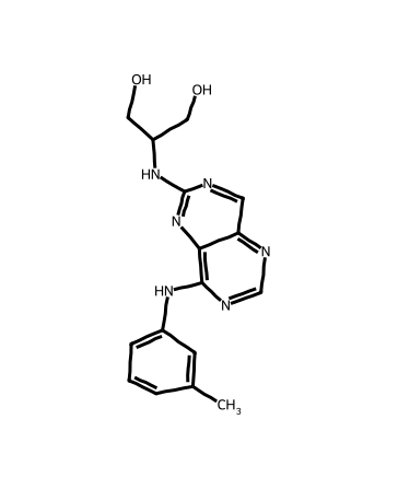 Cc1cccc(Nc2ncnc3cnc(NC(CO)CO)nc23)c1